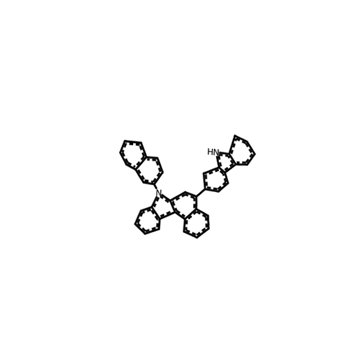 c1ccc2cc(-n3c4ccccc4c4c5ccccc5c(-c5ccc6c(c5)[nH]c5ccccc56)cc43)ccc2c1